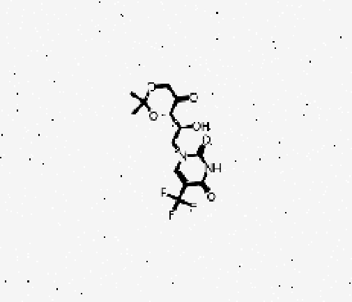 CC1(C)OCC(=O)[C@H]([C@@H](O)Cn2cc(C(F)(F)F)c(=O)[nH]c2=O)O1